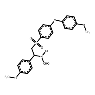 O=CN(O)C(CS(=O)(=O)c1ccc(Oc2ccc(OC(F)(F)F)cc2)cc1)c1ccc(OC(F)(F)F)cc1